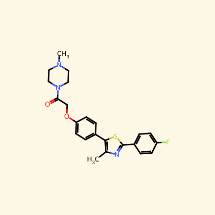 Cc1nc(-c2ccc(F)cc2)sc1-c1ccc(OCC(=O)N2CCN(C)CC2)cc1